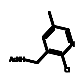 CC(=O)NCc1cc(C)cnc1Cl